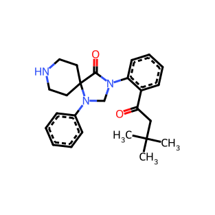 CC(C)(C)CC(=O)c1ccccc1N1CN(c2ccccc2)C2(CCNCC2)C1=O